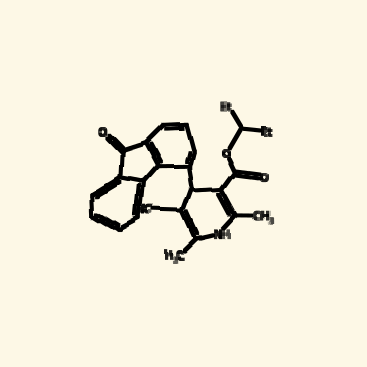 CCC(CC)OC(=O)C1=C(C)NC(C)=C(C#N)C1c1cccc2c1-c1ccccc1C2=O